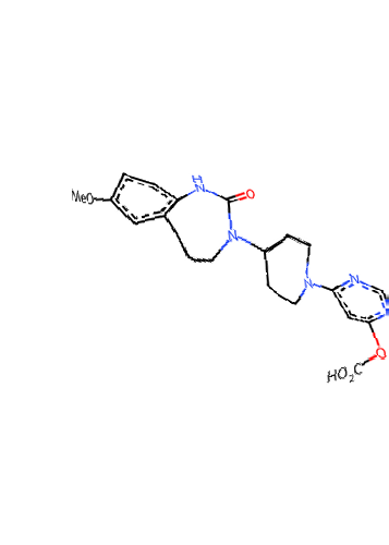 COc1ccc2c(c1)CCN(C1CCN(c3cc(OC(=O)O)ncn3)CC1)C(=O)N2